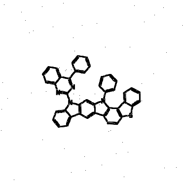 c1ccc(-c2nc(-n3c4ccccc4c4cc5c6ccc7sc8ccccc8c7c6n(-c6ccccc6)c5cc43)nc3ccccc23)cc1